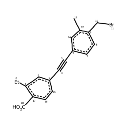 CCc1cc(C#Cc2ccc(CBr)c(C)c2)ccc1C(=O)O